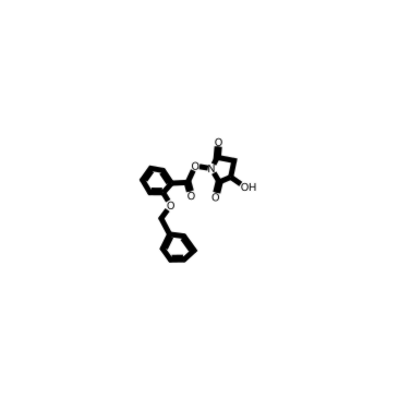 O=C(ON1C(=O)CC(O)C1=O)c1ccccc1OCc1ccccc1